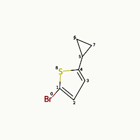 Brc1ccc(C2[CH]C2)s1